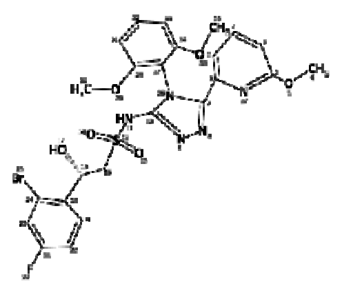 COc1cccc(-c2nnc(NS(=O)(=O)C[C@@H](O)c3ccc(F)cc3Br)n2-c2c(OC)cccc2OC)n1